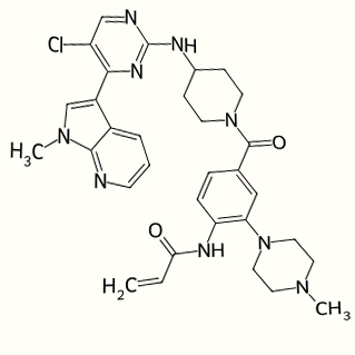 C=CC(=O)Nc1ccc(C(=O)N2CCC(Nc3ncc(Cl)c(-c4cn(C)c5ncccc45)n3)CC2)cc1N1CCN(C)CC1